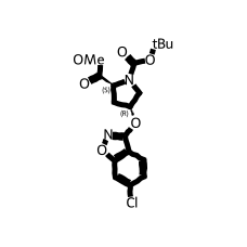 COC(=O)[C@@H]1C[C@@H](Oc2noc3cc(Cl)ccc23)CN1C(=O)OC(C)(C)C